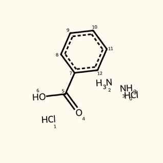 Cl.Cl.N.N.O=C(O)c1ccccc1